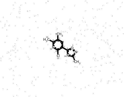 Cc1noc(-c2cc(C)c(C)nc2Cl)n1